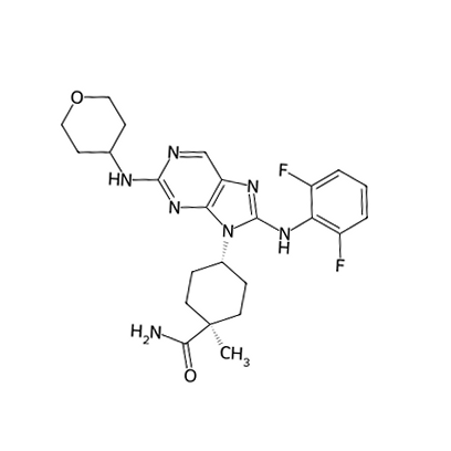 C[C@]1(C(N)=O)CC[C@H](n2c(Nc3c(F)cccc3F)nc3cnc(NC4CCOCC4)nc32)CC1